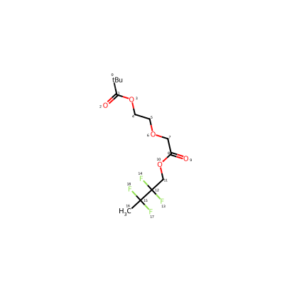 CC(C)(C)C(=O)OCCOCC(=O)OCC(F)(F)C(C)(F)F